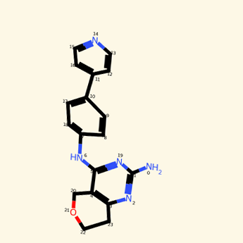 Nc1nc2c(c(Nc3ccc(-c4ccncc4)cc3)n1)COCC2